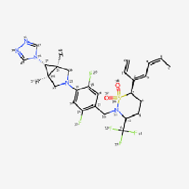 C=C/C(=C\C=C/C)[C@H]1CCC(C(F)(F)F)N(Cc2cc(F)c(N3C[C@@H]4[C@H](C3)[C@H]4n3cnnc3)cc2F)S1(=O)=O